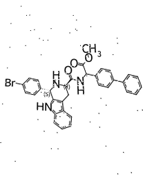 COC(=O)C(NC(=O)[C@H]1Cc2c([nH]c3ccccc23)[C@H](c2ccc(Br)cc2)N1)c1ccc(-c2ccccc2)cc1